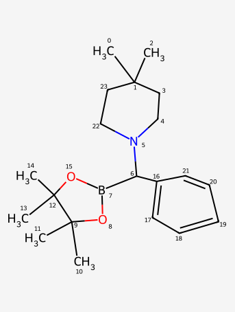 CC1(C)CCN(C(B2OC(C)(C)C(C)(C)O2)c2ccccc2)CC1